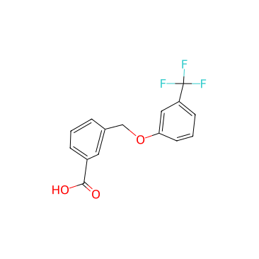 O=C(O)c1cccc(COc2cccc(C(F)(F)F)c2)c1